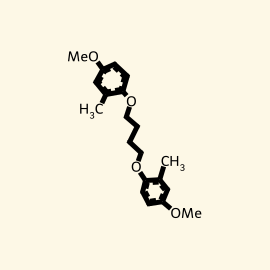 COc1ccc(OCCCCOc2ccc(OC)cc2C)c(C)c1